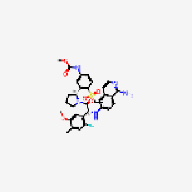 CCS(=O)(=O)c1ccc(NC(=O)OC)cc1[C@H]1CCCN1C(=O)[C@H](Nc1ccc2c(N)nccc2c1)c1cc(OC)c(C)cc1F